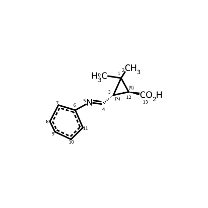 CC1(C)[C@@H](C=Nc2ccccc2)[C@@H]1C(=O)O